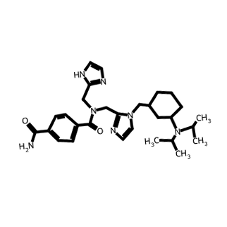 CC(C)N(C(C)C)C1CCCC(Cn2ccnc2CN(Cc2ncc[nH]2)C(=O)c2ccc(C(N)=O)cc2)C1